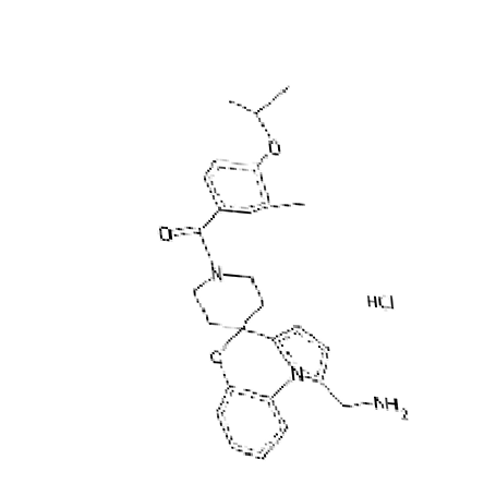 Cc1cc(C(=O)N2CCC3(CC2)Oc2ccccc2-n2c(CN)ccc23)ccc1OC(C)C.Cl